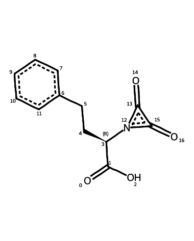 O=C(O)[C@@H](CCc1ccccc1)n1c(=O)c1=O